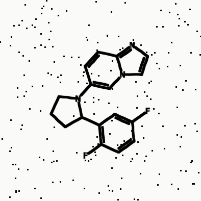 Fc1ccc(F)c(C2CCCN2c2ccc3nccn3c2)c1